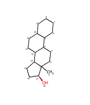 CC12CCC3C4CCCCC4CCC3C1CC[C@@H]2O